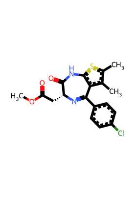 COC(=O)C[C@H]1N=C(c2ccc(Cl)cc2)c2c(sc(C)c2C)NC1=O